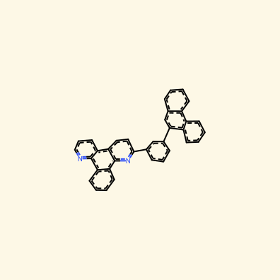 c1cc(-c2ccc3c4cccnc4c4ccccc4c3n2)cc(-c2cc3ccccc3c3ccccc23)c1